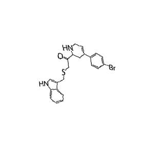 O=C(CSCc1c[nH]c2ccccc12)C1CC(c2ccc(Br)cc2)=CCN1